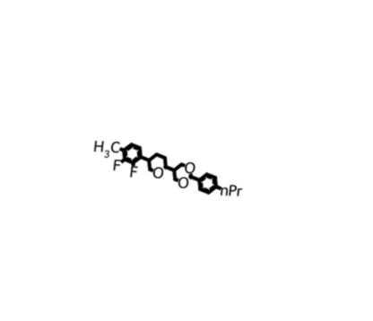 CCCc1ccc(C2OCC(C3CCC(c4ccc(C)c(F)c4F)CO3)CO2)cc1